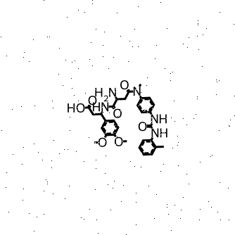 COc1ccc(C(CC(=O)O)NC(=O)C(N)CC(=O)N(C)c2ccc(NC(=O)Nc3ccccc3C)cc2)cc1OC